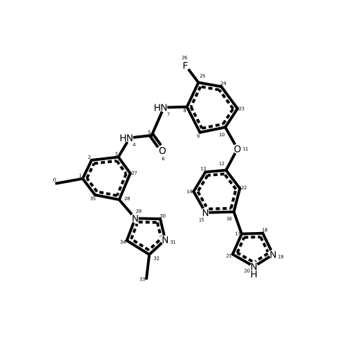 Cc1cc(NC(=O)Nc2cc(Oc3ccnc(-c4cn[nH]c4)c3)ccc2F)cc(-n2cnc(C)c2)c1